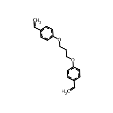 C=Cc1ccc(OCCCOc2ccc(C=C)cc2)cc1